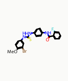 COc1ccc(NC(=S)Nc2ccc(NC(=O)c3ccccc3F)cc2)cc1Br